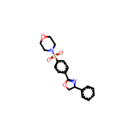 O=S(=O)(c1ccc(C2=NC(c3ccccc3)CO2)cc1)N1CCOCC1